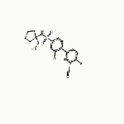 N#Cc1nc(-c2ccc(S(=O)(=O)NC3(CO)CCCC3)cc2Cl)ccc1F